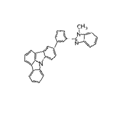 Cn1c(-c2cccc(-c3ccc4c(c3)c3cccc5c6ccccc6n4c53)c2)nc2ccccc21